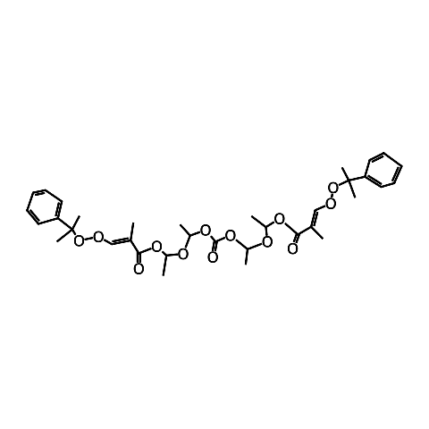 C/C(=C\OOC(C)(C)c1ccccc1)C(=O)OC(C)OC(C)OC(=O)OC(C)OC(C)OC(=O)/C(C)=C/OOC(C)(C)c1ccccc1